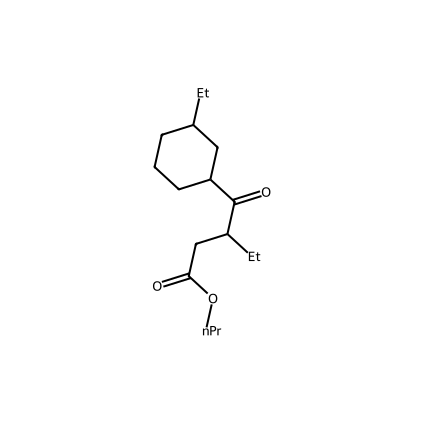 CCCOC(=O)CC(CC)C(=O)C1CCCC(CC)C1